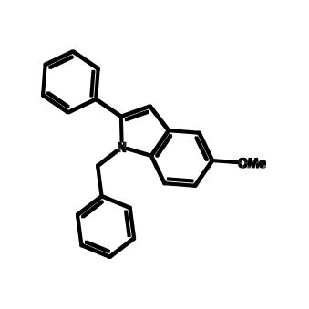 COc1ccc2c(c1)cc(-c1ccccc1)n2Cc1ccccc1